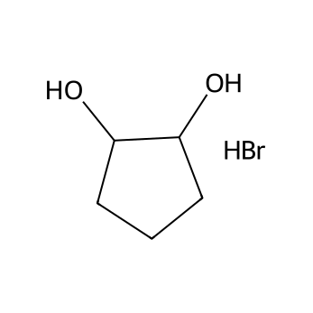 Br.OC1CCCC1O